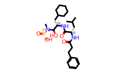 CC(C)C[C@H](NC(=O)CCc1ccccc1)C(=O)N[C@@H](CC1CCCCC1)C(O)N(C)[PH](=O)O